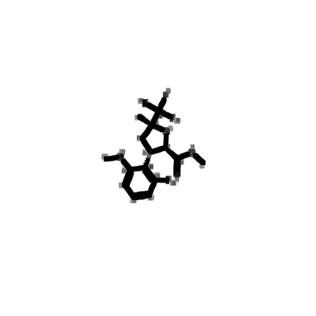 COC(=O)[C@@H]1O[C@@](C)(C(F)(F)F)C[C@H]1c1c(F)cccc1OC